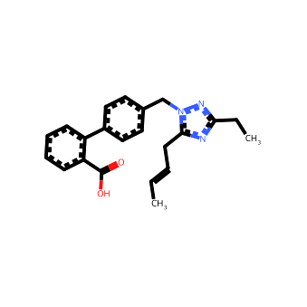 CC=CCc1nc(CC)nn1Cc1ccc(-c2ccccc2C(=O)O)cc1